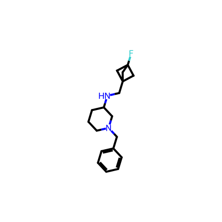 FC12CC(CNC3CCCN(Cc4ccccc4)C3)(C1)C2